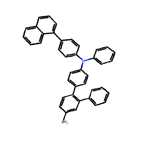 Bc1ccc(-c2ccc(N(c3ccccc3)c3ccc(-c4cccc5ccccc45)cc3)cc2)c(-c2ccccc2)c1